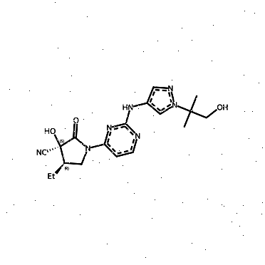 CC[C@@H]1CN(c2ccnc(Nc3cnn(C(C)(C)CO)c3)n2)C(=O)[C@@]1(O)C#N